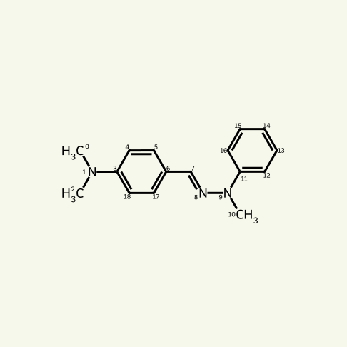 CN(C)c1ccc(C=NN(C)c2ccccc2)cc1